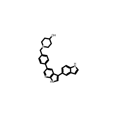 OC1CCN(Cc2ccc(-c3cnc4[nH]cc(-c5ccc6[nH]ccc6c5)c4c3)cc2)CC1